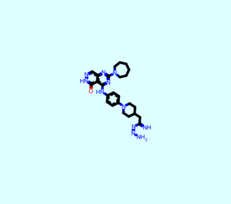 N=C(CC1CCN(c2ccc(Nc3nc(N4CCCCCC4)nc4cn[nH]c(=O)c34)cc2)CC1)/N=N\N